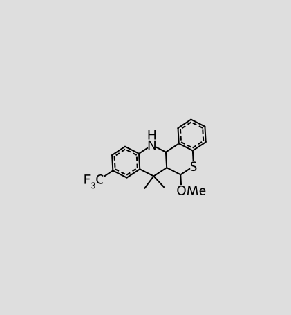 COC1Sc2ccccc2C2Nc3ccc(C(F)(F)F)cc3C(C)(C)C12